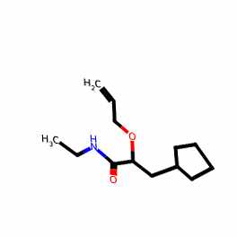 C=CCOC(CC1CCCC1)C(=O)NCC